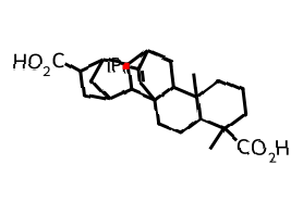 CC(C)C1=CC23CCC4C(C)(C(=O)O)CCCC4(C)C2CC1C1C2CC(CC2C(=O)O)C13